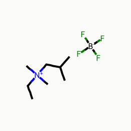 CC[N+](C)(C)CC(C)C.F[B-](F)(F)F